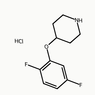 Cl.Fc1ccc(F)c(OC2CCNCC2)c1